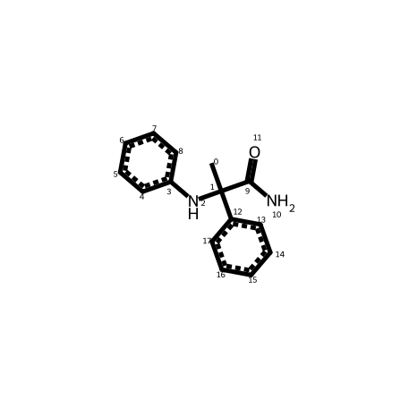 CC(Nc1ccccc1)(C(N)=O)c1ccccc1